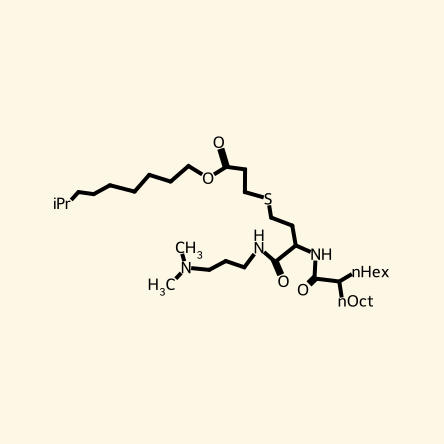 CCCCCCCCC(CCCCCC)C(=O)NC(CCSCCC(=O)OCCCCCCCC(C)C)C(=O)NCCCN(C)C